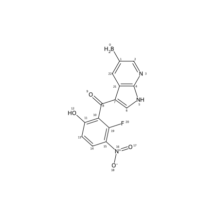 Bc1cnc2[nH]cc(C(=O)c3c(O)ccc([N+](=O)[O-])c3F)c2c1